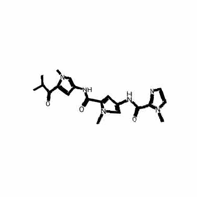 CC(C)C(=O)c1cc(NC(=O)c2cc(NC(=O)c3nccn3C)cn2C)cn1C